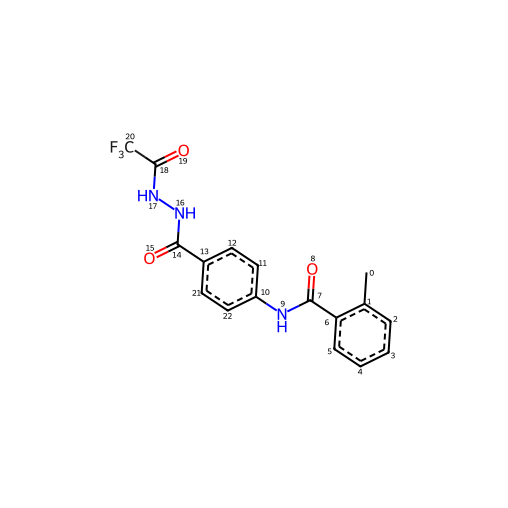 Cc1ccccc1C(=O)Nc1ccc(C(=O)NNC(=O)C(F)(F)F)cc1